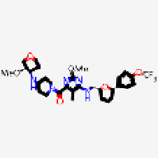 COc1nc(NC[C@H]2CCC[C@@H](c3ccc(OC(F)(F)F)cc3)O2)c(C)c(C(=O)N2CCC(N[C@@H]3CCOC[C@@H]3OC)CC2)n1